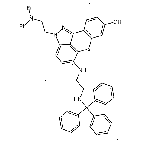 CCN(CC)CCn1nc2c3c(c(NCCNC(c4ccccc4)(c4ccccc4)c4ccccc4)ccc31)Sc1cc(O)ccc1-2